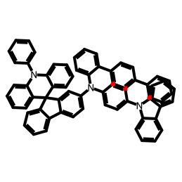 c1ccc(-c2ccc(-c3ccccc3N(c3ccc(-n4c5ccccc5c5ccccc54)cc3)c3ccc4c(c3)C3(c5ccccc5-4)c4ccccc4N(c4ccccc4)c4ccccc43)cc2)cc1